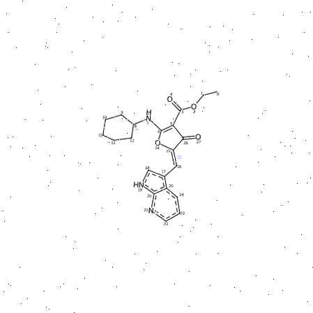 CCOC(=O)C1=C(NC2CCCCC2)O/C(=C\c2c[nH]c3ncccc23)C1=O